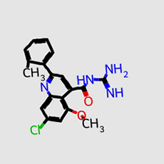 COc1cc(Cl)cc2nc(-c3ccccc3C)cc(C(=O)NC(=N)N)c12